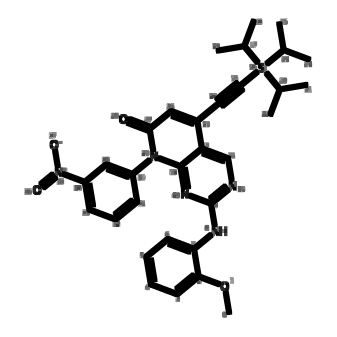 COc1ccccc1Nc1ncc2c(C#C[Si](C(C)C)(C(C)C)C(C)C)cc(=O)n(-c3cccc([N+](=O)[O-])c3)c2n1